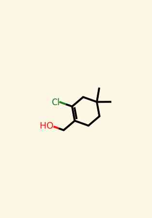 CC1(C)CCC(CO)=C(Cl)C1